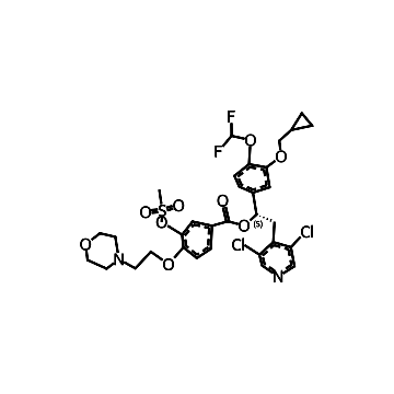 CS(=O)(=O)Oc1cc(C(=O)O[C@@H](Cc2c(Cl)cncc2Cl)c2ccc(OC(F)F)c(OCC3CC3)c2)ccc1OCCN1CCOCC1